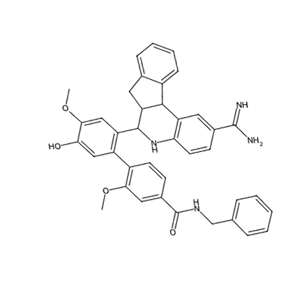 COc1cc(C2Nc3ccc(C(=N)N)cc3C3c4ccccc4CC23)c(-c2ccc(C(=O)NCc3ccccc3)cc2OC)cc1O